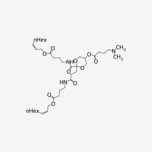 CCCCCC/C=C\COC(=O)CCCNC(=O)CCC1(C(=O)NCCCC(=O)OC/C=C\CCCCCC)OCC(OC(=O)CCCN(C)C)CO1